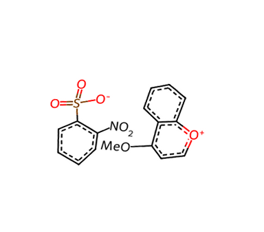 COc1cc[o+]c2ccccc12.O=[N+]([O-])c1ccccc1S(=O)(=O)[O-]